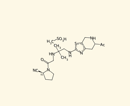 CC(=O)C1Cc2nc(NCC(C)(C)NCC(=O)N3CCC[C@H]3C#N)sc2CN1.CS(=O)(=O)O